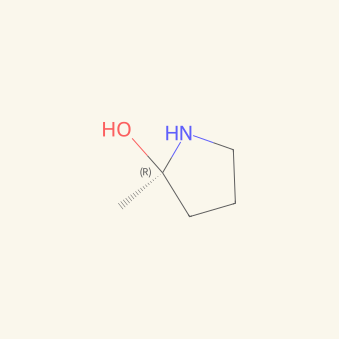 C[C@@]1(O)CCCN1